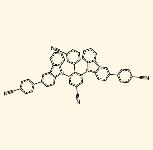 N#Cc1ccc(-c2ccc3c(c2)c2ccccc2n3-c2cc(C#N)cc(-n3c4ccccc4c4cc(-c5ccc(C#N)cc5)ccc43)c2-c2cccc(C#N)c2)cc1